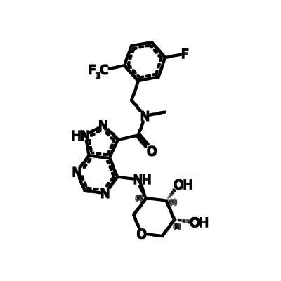 CN(Cc1cc(F)ccc1C(F)(F)F)C(=O)c1n[nH]c2ncnc(N[C@@H]3COC[C@@H](O)[C@H]3O)c12